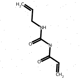 C=CCNC(=O)[N]C(=O)C=C